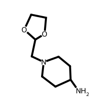 NC1CCN(CC2OCCO2)CC1